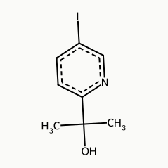 CC(C)(O)c1ccc(I)cn1